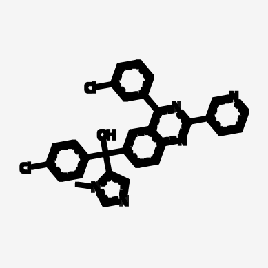 Cn1cncc1C(O)(c1ccc(Cl)cc1)c1ccc2nc(-c3cccnc3)nc(-c3cccc(Cl)c3)c2c1